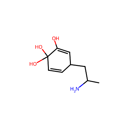 CC(N)CC1C=CC(O)(O)C(O)=C1